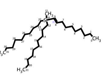 CCCCCCCC/C=C/[Si](C)(CCCCCCCCCC)CCCCCCCCCC